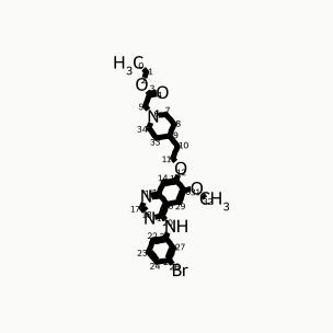 CCOC(=O)CN1CCC(CCOc2cc3ncnc(Nc4cccc(Br)c4)c3cc2OC)CC1